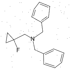 FC1(CN(Cc2ccccc2)Cc2ccccc2)CC1